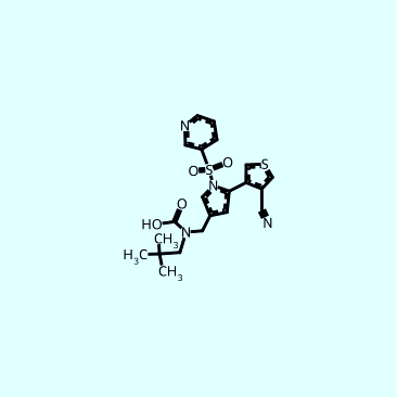 CC(C)(C)CN(Cc1cc(-c2cscc2C#N)n(S(=O)(=O)c2cccnc2)c1)C(=O)O